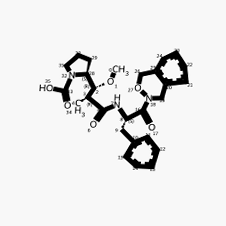 CO[C@H]([C@@H](C)C(=O)N[C@@H](Cc1ccccc1)C(=O)N1Cc2ccccc2CO1)[C@@H]1CCCN1C(=O)O